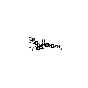 C=CC(=O)Nc1ccnc(-c2c(C)ccc3cnc(Nc4ccc(N5CCN(C)CC5)cc4)nc23)c1